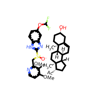 CC(=O)[C@H]1CC[C@H]2[C@@H]3CC=C4C[C@@H](O)CC[C@]4(C)[C@H]3CC[C@]12C.COc1ccnc(C[S+]([O-])c2nc3cc(OC(F)F)ccc3[nH]2)c1OC